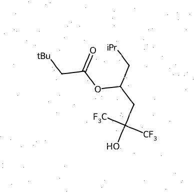 CC(C)CC(CC(O)(C(F)(F)F)C(F)(F)F)OC(=O)CC(C)(C)C